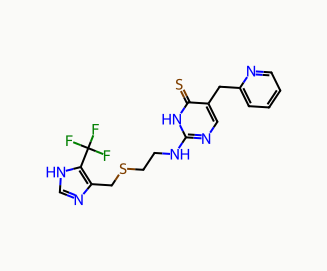 FC(F)(F)c1[nH]cnc1CSCCNc1ncc(Cc2ccccn2)c(=S)[nH]1